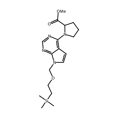 COC(=O)C1CCCN1c1ncnc2c1ccn2COCC[Si](C)(C)C